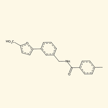 Cc1ccc(C(=O)NCc2cccc(-c3ccc(C(=O)O)o3)c2)cc1